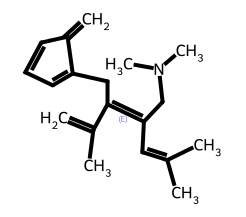 C=C1C=CC=C1C/C(C(=C)C)=C(/C=C(C)C)CN(C)C